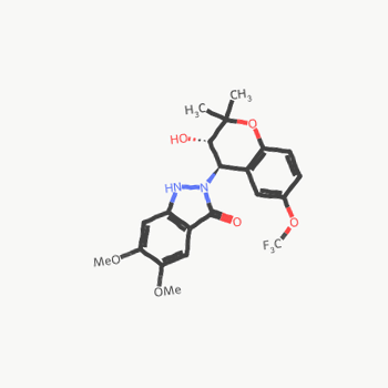 COc1cc2[nH]n([C@@H]3c4cc(OC(F)(F)F)ccc4OC(C)(C)[C@H]3O)c(=O)c2cc1OC